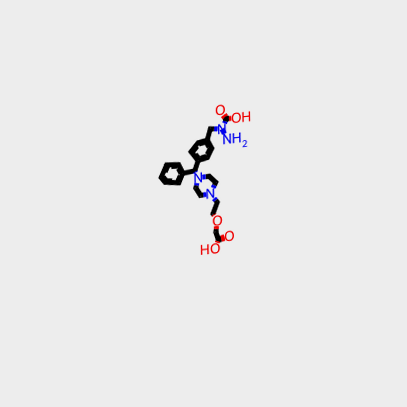 NN(Cc1ccc(C(c2ccccc2)N2CCN(CCOCC(=O)O)CC2)cc1)C(=O)O